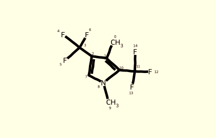 Cc1c(C(F)(F)F)cn(C)c1C(F)(F)F